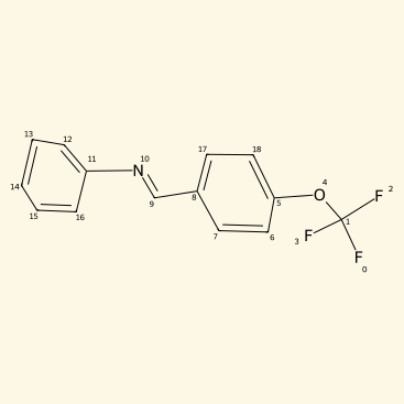 FC(F)(F)Oc1ccc(C=Nc2ccccc2)cc1